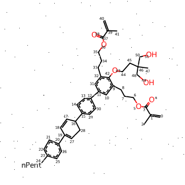 C=C(C)C(=O)OCCCc1cc(-c2ccc(C3C=CC(c4ccc(CCCCC)cc4)=CC3)cc2)cc(CCCOC(=O)C(=C)C)c1OCCC(C)(CO)CO